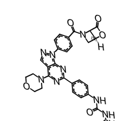 CNC(=O)Nc1ccc(-c2nc(N3CCOCC3)c3cnn(-c4ccc(C(=O)N5C[C@@H]6OC(=O)C65)cc4)c3n2)cc1